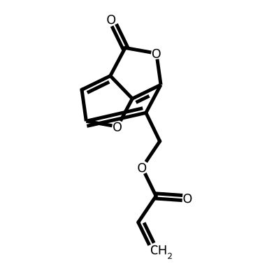 C=CC(=O)OCc1c2c3oc1cc3C(=O)O2